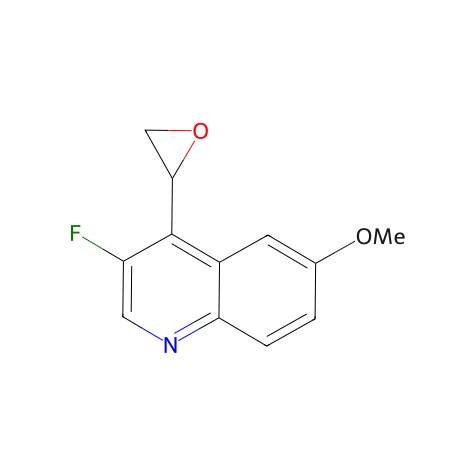 COc1ccc2ncc(F)c(C3CO3)c2c1